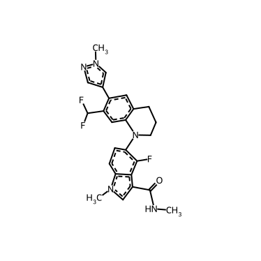 CNC(=O)c1cn(C)c2ccc(N3CCCc4cc(-c5cnn(C)c5)c(C(F)F)cc43)c(F)c12